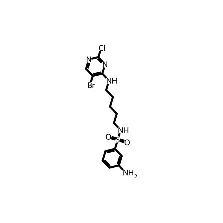 Nc1cccc(S(=O)(=O)NCCCCCNc2nc(Cl)ncc2Br)c1